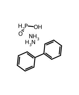 N.N.O=[PH2]O.c1ccc(-c2ccccc2)cc1